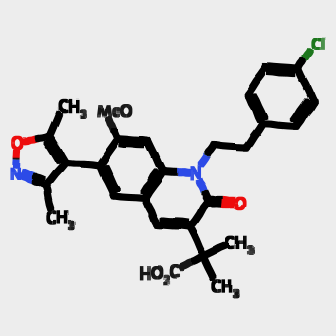 COc1cc2c(cc1-c1c(C)noc1C)cc(C(C)(C)C(=O)O)c(=O)n2CCc1ccc(Cl)cc1